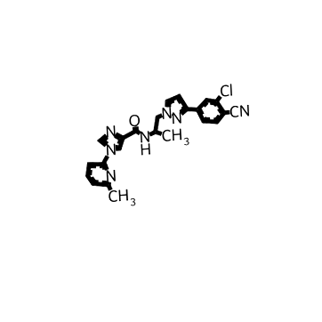 Cc1cccc(-n2cnc(C(=O)NC(C)Cn3ccc(-c4ccc(C#N)c(Cl)c4)n3)c2)n1